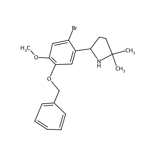 COc1cc(Br)c(C2CCC(C)(C)N2)cc1OCc1ccccc1